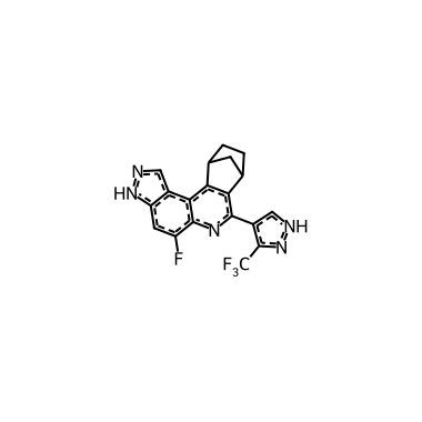 Fc1cc2[nH]ncc2c2c3c(c(-c4c[nH]nc4C(F)(F)F)nc12)C1CCC3C1